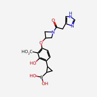 O=C(O)c1c(OC2CN(C(=O)Cc3c[nH]cn3)C2)ccc(C2CC2B(O)O)c1O